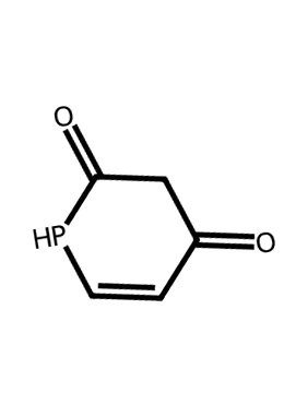 O=C1C=CPC(=O)C1